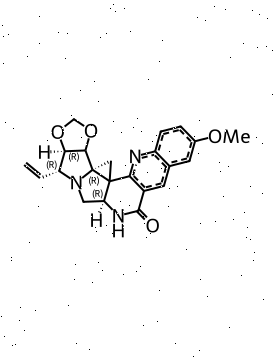 C=C[C@@H]1[C@H]2OCOC2[C@@]23CC24c2nc5ccc(OC)cc5cc2C(=O)N[C@H]4CN13